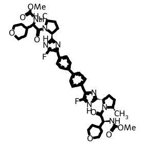 COC(=O)NC(C(=O)N1[C@@H](C)CC[C@H]1c1nc(-c2ccc(-c3ccc(-c4nc([C@@H]5CC[C@H](C)N5C(=O)[C@@H](NC(=O)OC)C5CCOCC5)[nH]c4F)cc3)cc2)c(F)[nH]1)C1CCOCC1